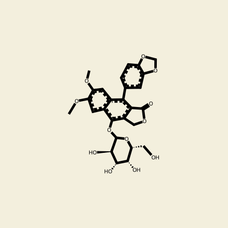 COc1cc2c(OC3O[C@H](CO)[C@H](O)[C@H](O)[C@H]3O)c3c(c(-c4ccc5c(c4)OCO5)c2cc1OC)C(=O)OC3